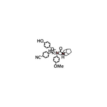 COc1ccc(N(C)C(=O)NC2C3CCC2CN(CCCC(Oc2ccc(O)cc2)c2ccc(C#N)cc2)C3)cc1